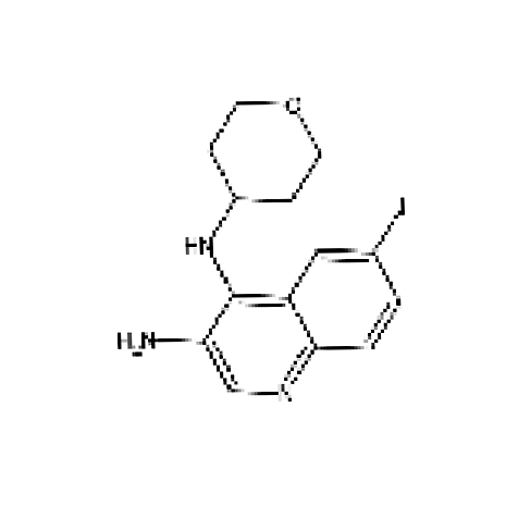 Nc1cnc2ccc(I)cc2c1NC1CCOCC1